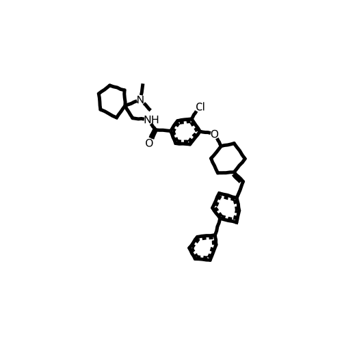 CN(C)C1(CNC(=O)c2ccc(OC3CCC(=Cc4ccc(-c5ccccc5)cc4)CC3)c(Cl)c2)CCCCC1